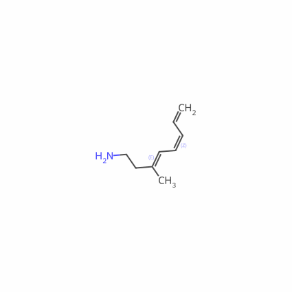 C=C/C=C\C=C(/C)CCN